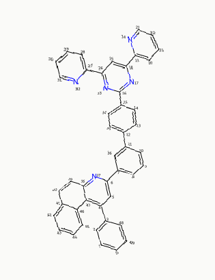 c1ccc(-c2cc(-c3cccc(-c4ccc(-c5nc(-c6ccccn6)cc(-c6ccccn6)n5)cc4)c3)nc3ccc4ccccc4c23)cc1